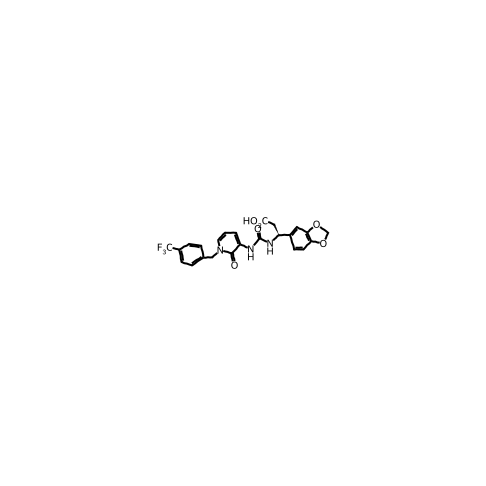 O=C(O)C[C@H](NC(=O)Nc1cccn(Cc2ccc(C(F)(F)F)cc2)c1=O)c1ccc2c(c1)OCO2